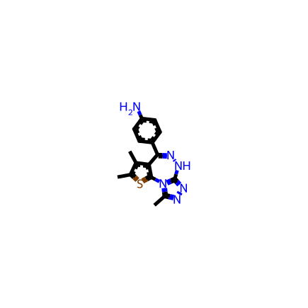 Cc1sc2c(c1C)C(c1ccc(N)cc1)=NNc1nnc(C)n1-2